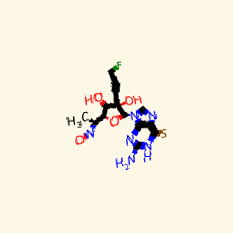 C[C@H](N=O)[C@H]1O[C@@H](n2cnc3c(=S)[nH]c(N)nc32)[C@@](O)(C#CCF)C1O